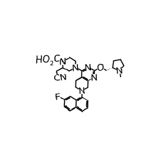 CN1CCC[C@H]1COc1nc2c(c(N3CCN(C(=O)O)C(CC#N)C3)n1)CCN(c1cccc3ccc(F)cc13)C2